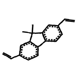 C=Cc1ccc2c(c1)C(C)(C)c1cc(C=C)ccc1-2